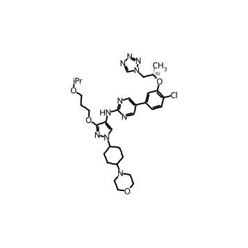 CC(C)OCCCOc1nn(C2CCC(N3CCOCC3)CC2)cc1Nc1ncc(-c2ccc(Cl)c(O[C@@H](C)Cn3cnnn3)c2)cn1